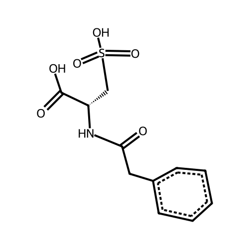 O=C(Cc1ccccc1)N[C@@H](CS(=O)(=O)O)C(=O)O